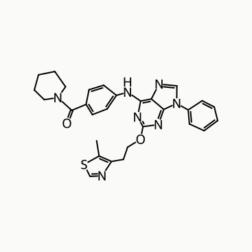 Cc1scnc1CCOc1nc(Nc2ccc(C(=O)N3CCCCC3)cc2)c2ncn(-c3ccccc3)c2n1